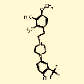 COc1ccc(CCN2CCN(c3ccc(Cl)c(C(F)(F)F)c3)CC2)c(C)c1C